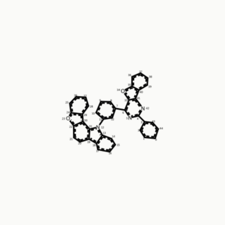 c1ccc(-c2nc(-c3cccc(-n4c5ccccc5c5ccc6oc7ccccc7c6c54)c3)c3oc4ccccc4c3n2)cc1